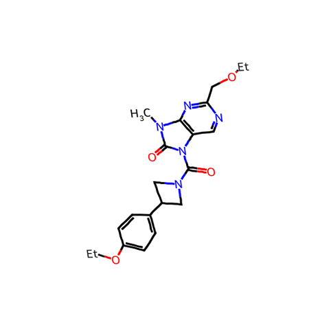 CCOCc1ncc2c(n1)n(C)c(=O)n2C(=O)N1CC(c2ccc(OCC)cc2)C1